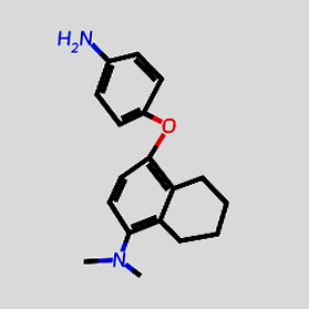 CN(C)c1ccc(Oc2ccc(N)cc2)c2c1CCCC2